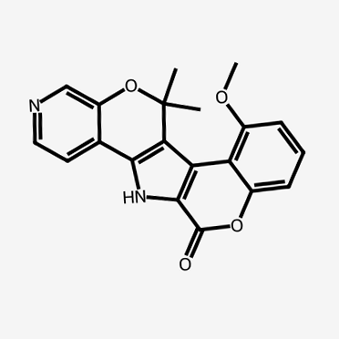 COc1cccc2oc(=O)c3[nH]c4c(c3c12)C(C)(C)Oc1cnccc1-4